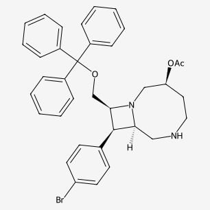 CC(=O)O[C@H]1CCNC[C@H]2[C@@H](c3ccc(Br)cc3)[C@@H](COC(c3ccccc3)(c3ccccc3)c3ccccc3)N2C1